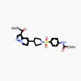 CNC(=O)c1cnn2ccc(C3CCN(S(=O)(=O)c4ccc(NC(=O)OC)cc4)CC3)cc12